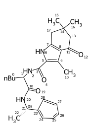 CCCCC(NC(=O)c1[nH]c2c(c1C)C(=O)CC(C)(C)C2)C(=O)N[C@@H](C)c1ccccc1